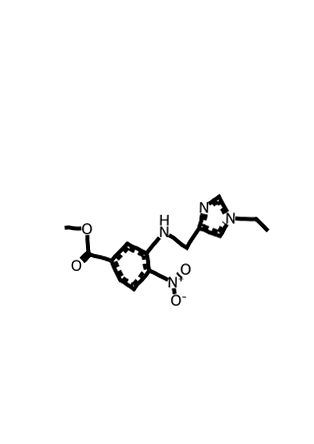 CCn1cnc(CNc2cc(C(=O)OC)ccc2[N+](=O)[O-])c1